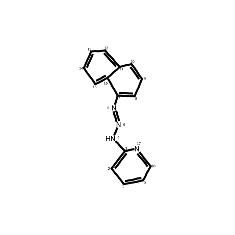 c1ccc(NN=Nc2cccc3ccccc23)nc1